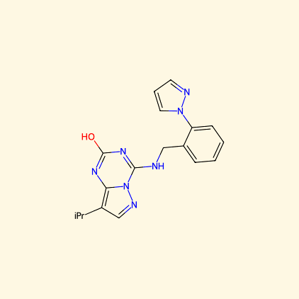 CC(C)c1cnn2c(NCc3ccccc3-n3cccn3)nc(O)nc12